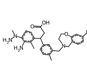 Cc1ccc(C(CC(=O)O)c2ccc(N(C)N)c(N)c2C)cc1CN1CCOc2cc(F)ccc2C1